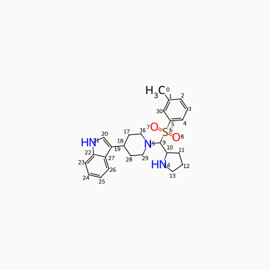 Cc1cccc(S(=O)(=O)C(C2CCCN2)N2CCC(c3c[nH]c4ccccc34)CC2)c1